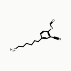 CCCCCCCc1ccc(OC=O)c(C#N)c1